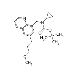 COCCCc1cc(CN(C(=O)OC(C)(C)C)C2CC2)c2ncccc2c1